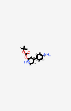 CC(C)(C)OC(=O)OC1CC(c2ccc(N)cc2)CCN1